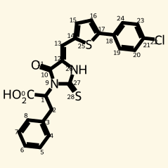 O=C(O)C(Cc1ccccc1)N1C(=O)C(=Cc2ccc(-c3ccc(Cl)cc3)s2)NC1=S